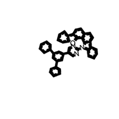 c1ccc(-c2cc(-c3ccccc3)cc(-c3cnc(-n4c5ccccc5c5ccc6ccc7c8ccccc8oc7c6c54)nc3)c2)cc1